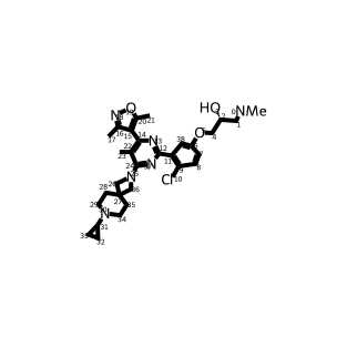 CNC[C@@H](O)COc1ccc(Cl)c(-c2nc(-c3c(C)noc3C)c(C)c(N3CC4(CCN(C5CC5)CC4)C3)n2)c1